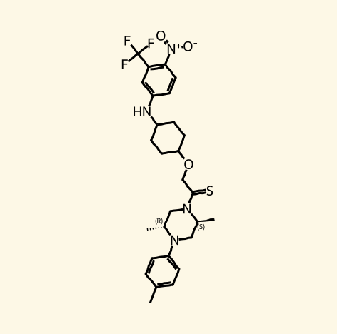 Cc1ccc(N2C[C@H](C)N(C(=S)COC3CCC(Nc4ccc([N+](=O)[O-])c(C(F)(F)F)c4)CC3)C[C@H]2C)cc1